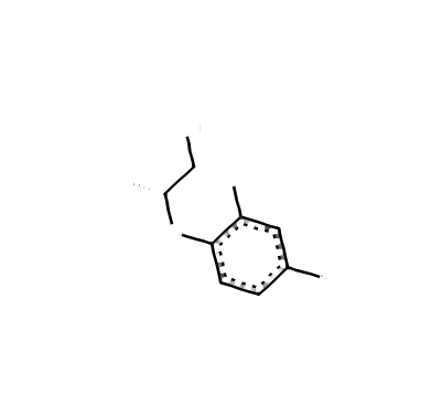 CCc1ccc(O[C@H](C)CO)c(F)c1